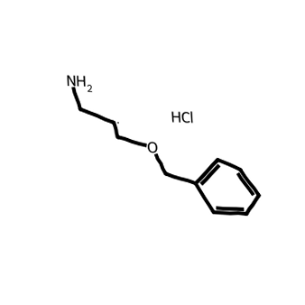 Cl.NC[CH]COCc1ccccc1